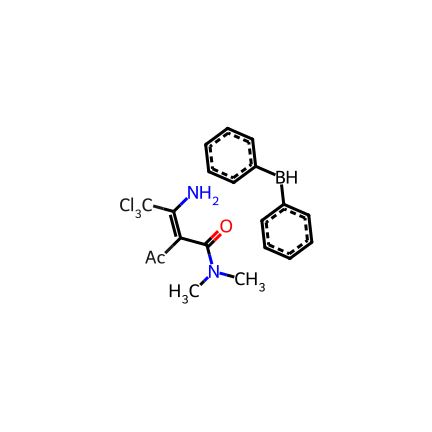 B(c1ccccc1)c1ccccc1.CC(=O)/C(C(=O)N(C)C)=C(/N)C(Cl)(Cl)Cl